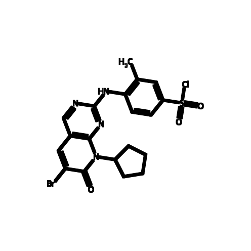 Cc1cc(S(=O)(=O)Cl)ccc1Nc1ncc2cc(Br)c(=O)n(C3CCCC3)c2n1